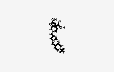 CC(C)(C)N1CCC(CN2CC(CN3CCC(CC(=O)O)(C(=O)O)CC3)OC2=O)CC1